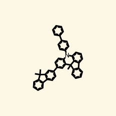 CC1(C)c2ccccc2-c2ccc(-c3ccc4c(c3)C3(C)c5ccccc5-c5cccc(c53)N4c3ccc(-c4ccccc4)cc3)cc21